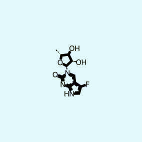 C[C@H]1O[C@@H](n2cc3c(F)c[nH]c3nc2=O)[C@@H](O)C1O